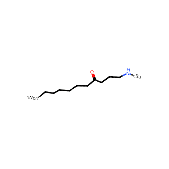 CCCCCCCCCCCCCCCC(=O)CCCNCCCC